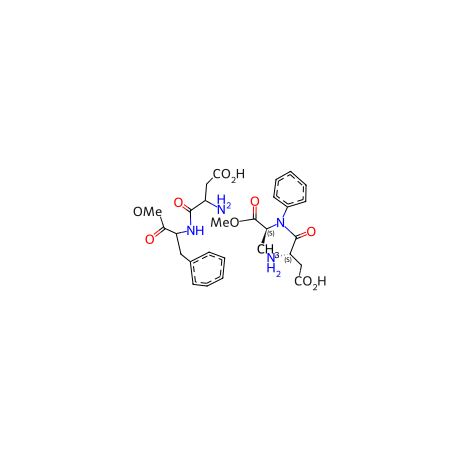 COC(=O)C(Cc1ccccc1)NC(=O)C(N)CC(=O)O.COC(=O)[C@H](C)N(C(=O)[C@@H](N)CC(=O)O)c1ccccc1